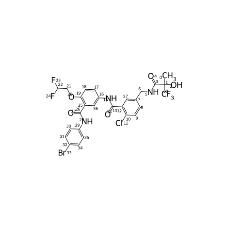 CC(O)(C(=O)NCc1ccc(Cl)c(C(=O)Nc2ccc(OCC(F)F)c(C(=O)Nc3ccc(Br)cc3)c2)c1)C(F)(F)F